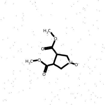 COC(=O)C1C[S+]([O-])CC1C(=O)OC